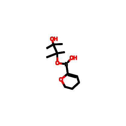 CC(C)(O)C(C)(C)OB(O)C1=CCCCO1